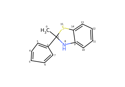 CC1(c2ccccc2)Nc2ccccc2S1